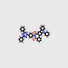 O=c1c2ccccc2c2cc3c(cc2c(=O)n1-c1ccc(-c2nc(-c4ccccc4)nc(-c4ccccc4)n2)cc1)c1ccccc1n3-c1ccccc1